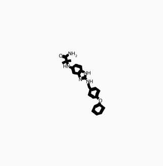 CC(C)(Nc1ccc2[nH]c(NCc3ccc(Oc4ccccc4)cc3)nc2c1)C(N)=O